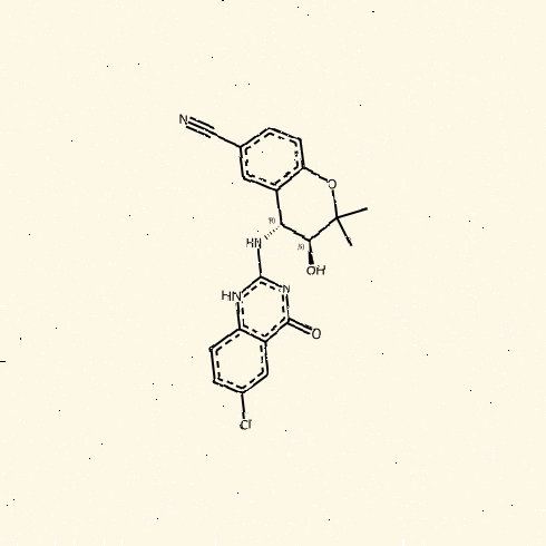 CC1(C)Oc2ccc(C#N)cc2[C@@H](Nc2nc(=O)c3cc(Cl)ccc3[nH]2)[C@@H]1O